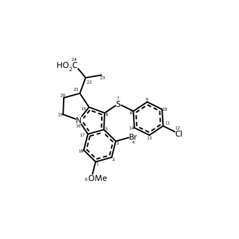 COc1cc(Br)c2c(Sc3ccc(Cl)cc3)c3n(c2c1)CCC3C(C)C(=O)O